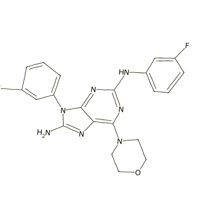 Nc1nc2c(N3CCOCC3)nc(Nc3cccc(F)c3)nc2n1-c1cccc(F)c1